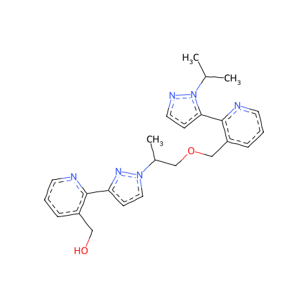 CC(COCc1cccnc1-c1ccnn1C(C)C)n1ccc(-c2ncccc2CO)n1